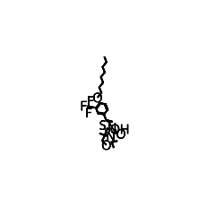 CCCCCCCCOc1ccc(-c2cnc(C3(C)COC(C)(C)N3C(=O)O)s2)cc1C(F)(F)F